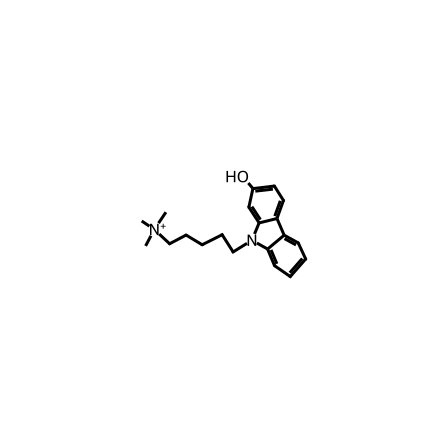 C[N+](C)(C)CCCCCn1c2ccccc2c2ccc(O)cc21